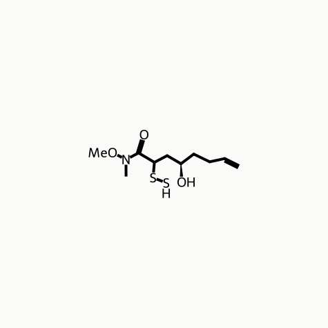 C=CCC[C@@H](O)CC(SS)C(=O)N(C)OC